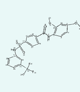 COc1ccc(NC(=O)c2ccc(S(=O)(=O)Nc3cccc(C(F)(F)F)c3)cc2)c(OC)c1